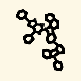 C1=C(c2ccccc2)SC2NC(n3c4ccc(-c5cccc6c5c5ccccc5n6-c5ccccc5)cc4c4ccc5ccccc5c43)=NC(c3ccccc3)=C12